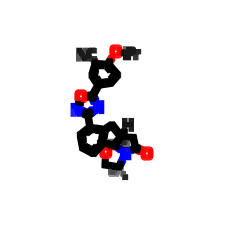 CC(C)Oc1ccc(-c2nc(-c3cccc4c3C[C@@H]3CC(=O)N5[C@H](C)CO[C@@]435)no2)cc1C#N